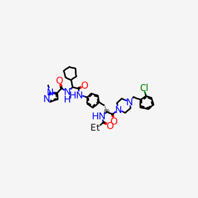 CCC(=O)N[C@H](Cc1ccc(NC(=O)C(NC(=O)c2ccnn2C)C2CCCCC2)cc1)C(=O)N1CCN(Cc2ccccc2Cl)CC1